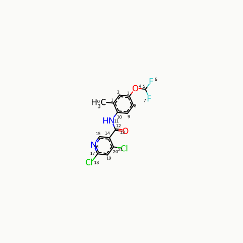 Cc1cc(OC(F)F)ccc1NC(=O)c1cnc(Cl)cc1Cl